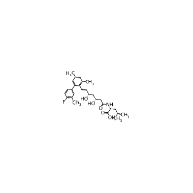 Cc1cc(C)c(C=C[C@@H](O)C[C@@H](O)CC(=O)N[C@@H](CC(C)C)C(=O)O)c(-c2ccc(F)c(C)c2)c1